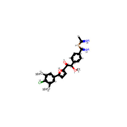 CCOC(C(=O)c1ccc(-c2cc(OC)c(Cl)c(OC)c2)o1)c1ccc(C(=N)SC(C)=N)cc1